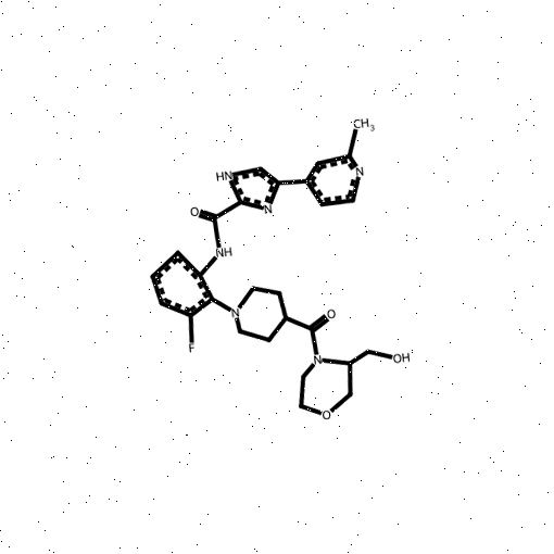 Cc1cc(-c2c[nH]c(C(=O)Nc3cccc(F)c3N3CCC(C(=O)N4CCOCC4CO)CC3)n2)ccn1